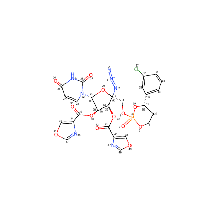 [N-]=[N+]=N[C@]1(COP2(=O)OCC[C@@H](c3cccc(Cl)c3)O2)O[C@@H](n2ccc(=O)[nH]c2=O)[C@H](OC(=O)c2cocn2)[C@@H]1OC(=O)c1cocn1